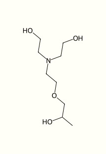 CC(O)COCCN(CCO)CCO